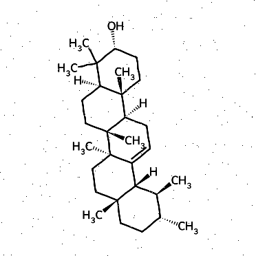 C[C@H]1[C@H](C)CC[C@]2(C)CC[C@]3(C)C(=CC[C@@H]4[C@@]5(C)CC[C@@H](O)C(C)(C)[C@@H]5CC[C@]43C)[C@H]12